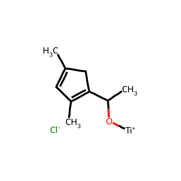 CC1=CC(C)=C(C(C)[O][Ti+])C1.[Cl-]